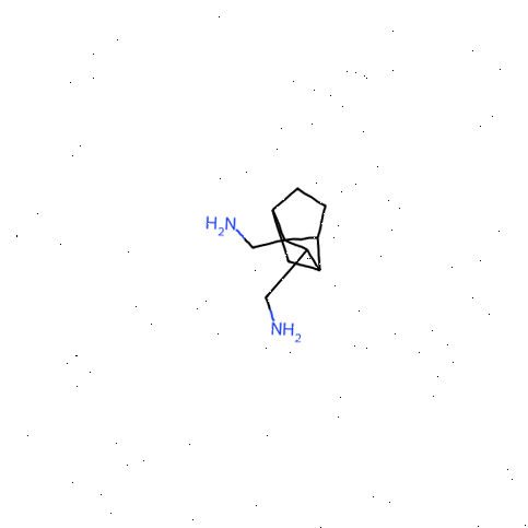 NCC1C2CC3CCC2C31CN